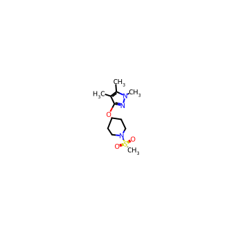 Cc1c(OC2CCN(S(C)(=O)=O)CC2)nn(C)c1C